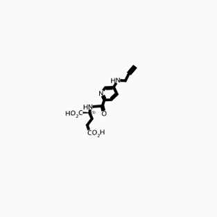 C#CCNc1ccc(C(=O)N[C@@H](CCC(=O)O)C(=O)O)nc1